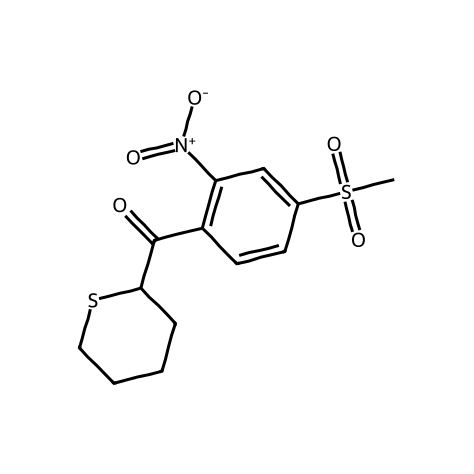 CS(=O)(=O)c1ccc(C(=O)C2CCCCS2)c([N+](=O)[O-])c1